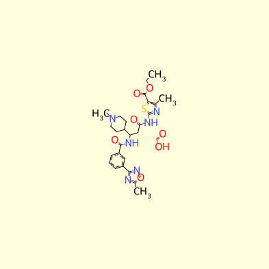 CCOC(=O)c1sc(NC(=O)CC(NC(=O)c2cccc(-c3noc(C)n3)c2)C2CCN(C)CC2)nc1C.O=CO